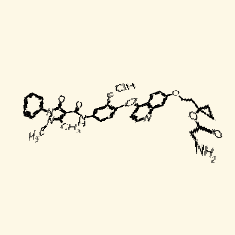 Cc1c(C(=O)Nc2ccc(Oc3ccnc4cc(OCCC5(OC(=O)CN)CC5)ccc34)c(F)c2)c(=O)n(-c2ccccc2)n1C.Cl